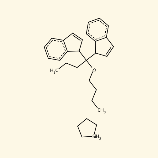 C1CC[SiH2]C1.CCC[CH2][Zr][C](CCC)(C1C=Cc2ccccc21)C1C=Cc2ccccc21